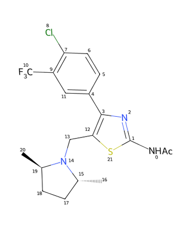 CC(=O)Nc1nc(-c2ccc(Cl)c(C(F)(F)F)c2)c(CN2[C@H](C)CC[C@H]2C)s1